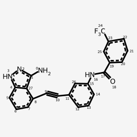 Nc1n[nH]c2cccc(C#Cc3cccc(NC(=O)c4cccc(C(F)(F)F)c4)c3)c12